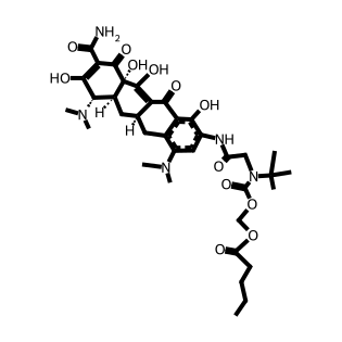 CCCCC(=O)OCOC(=O)N(CC(=O)Nc1cc(N(C)C)c2c(c1O)C(=O)C1=C(O)[C@]3(O)C(=O)C(C(N)=O)=C(O)[C@@H](N(C)C)[C@@H]3C[C@@H]1C2)C(C)(C)C